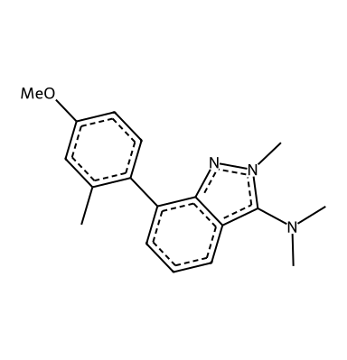 COc1ccc(-c2cccc3c(N(C)C)n(C)nc23)c(C)c1